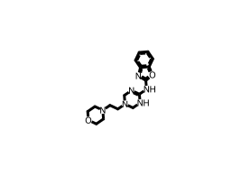 c1ccc2oc(NC3=NCN(CCN4CCOCC4)CN3)nc2c1